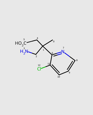 CC(CN)(CC(=O)O)c1ncccc1Cl